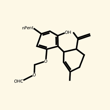 C=C(C)C1CCC(C)=CC1c1c(O)cc(CCCCC)cc1OCOC=O